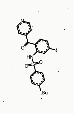 CC(C)(C)c1ccc(S(=O)(=O)Nc2cc(I)ccc2C(=O)c2ccncc2)cc1